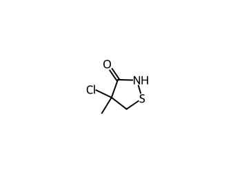 CC1(Cl)CSNC1=O